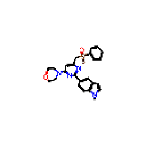 Cn1ccc2cc(-c3nc(CS(=O)(=S)c4ccccc4)cc(N4CCOCC4)n3)ccc21